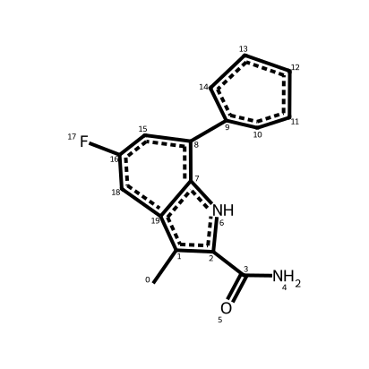 Cc1c(C(N)=O)[nH]c2c(-c3ccccc3)cc(F)cc12